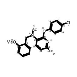 COc1ccccc1CN(C(C)=O)c1ccc([18F])nc1Oc1ccc(Cl)cc1